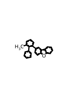 Cc1cccc(-c2ccc3oc4ccccc4c3c2)c1-c1ccccc1